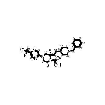 C[C@H]1CN(c2cnc(C(F)(F)F)cn2)C[C@@](C)(CCC2CCN(Cc3ccccc3)CC2)N1C(=O)O